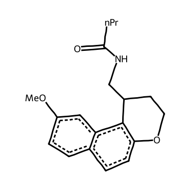 CCCC(=O)NCC1CCOc2ccc3ccc(OC)cc3c21